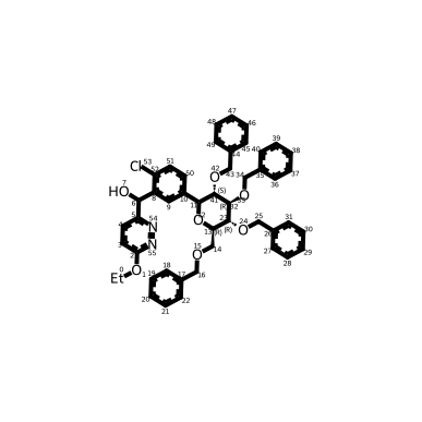 CCOc1ccc(C(O)c2cc(C3O[C@H](COCc4ccccc4)[C@@H](OCc4ccccc4)[C@H](OCc4ccccc4)[C@H]3OCc3ccccc3)ccc2Cl)nn1